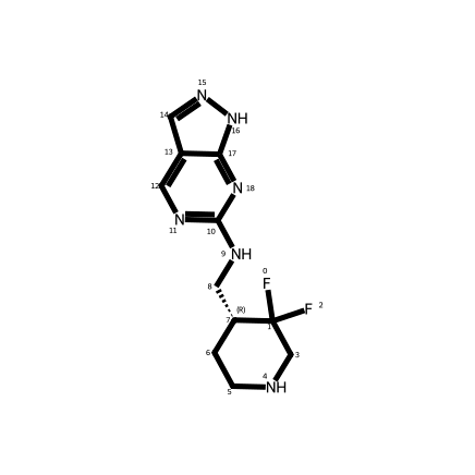 FC1(F)CNCC[C@@H]1CNc1ncc2cn[nH]c2n1